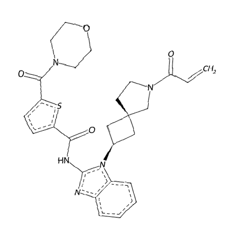 C=CC(=O)N1CC[C@]2(C1)C[C@H](n1c(NC(=O)c3ccc(C(=O)N4CCOCC4)s3)nc3ccccc31)C2